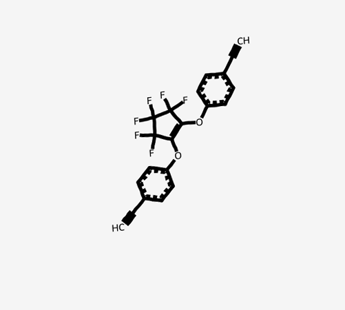 C#Cc1ccc(OC2=C(Oc3ccc(C#C)cc3)C(F)(F)C(F)(F)C2(F)F)cc1